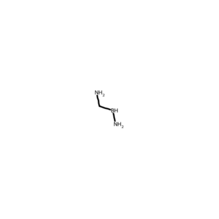 NBCN